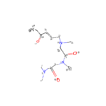 CCN(CC(=O)N(C)C)C(=O)CN(C)C/C=C/C(=O)C(C)C